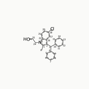 Cc1c(C(c2ccccc2)c2ccccc2)c2cc(Cl)ccc2n1CCO